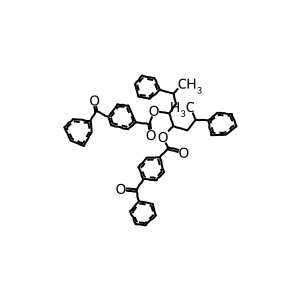 CC(CC(OC(=O)c1ccc(C(=O)c2ccccc2)cc1)C(CC(C)c1ccccc1)OC(=O)c1ccc(C(=O)c2ccccc2)cc1)c1ccccc1